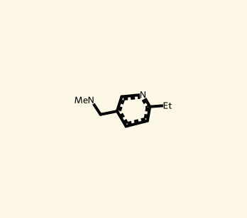 CCc1ccc(CNC)cn1